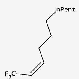 CCCCCCCC/C=C\C(F)(F)F